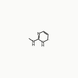 CNC1=NC=C[CH]N1